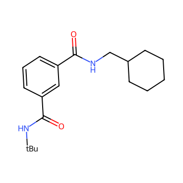 CC(C)(C)NC(=O)c1cccc(C(=O)NCC2CCCCC2)c1